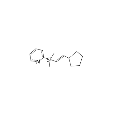 C[Si](C)(C=CC1CCCC1)c1ccccn1